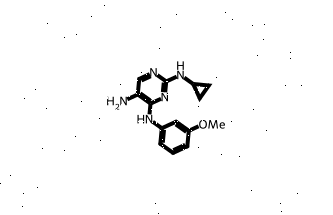 COc1cccc(Nc2nc(NC3CC3)ncc2N)c1